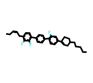 CC/C=C\Cc1ccc(-c2ccc(-c3ccc(C4=CCC(CCCCC)CC4)cc3F)cc2)c(F)c1F